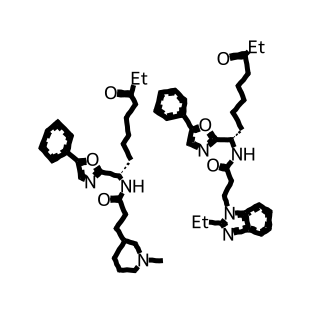 CCC(=O)CCCCC[C@H](NC(=O)CCC1CCCN(C)C1)c1ncc(-c2ccccc2)o1.CCC(=O)CCCCC[C@H](NC(=O)CCn1c(CC)nc2ccccc21)c1ncc(-c2ccccc2)o1